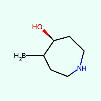 BC1CCNCC[C@@H]1O